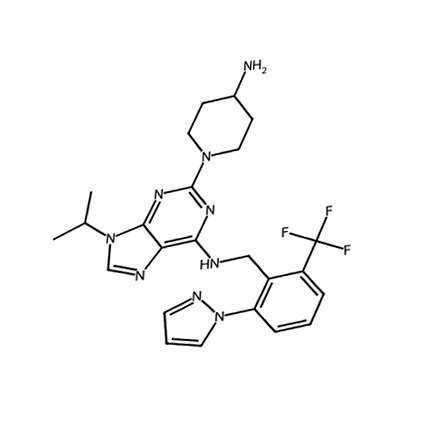 CC(C)n1cnc2c(NCc3c(-n4cccn4)cccc3C(F)(F)F)nc(N3CCC(N)CC3)nc21